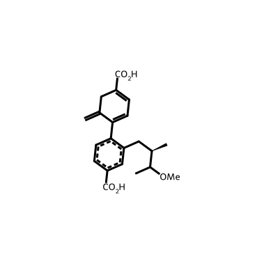 C=C1CC(C(=O)O)=CC=C1c1ccc(C(=O)O)cc1C[C@@H](C)C(C)OC